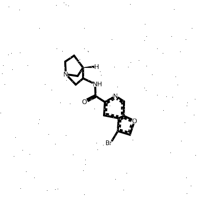 O=C(NC1CN2CC[C@H]1C2)c1cc2c(Br)coc2cn1